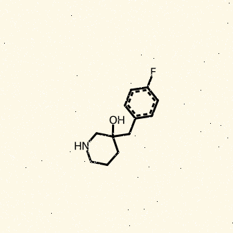 OC1(Cc2ccc(F)cc2)CCCNC1